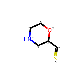 S=CC1CNCCO1